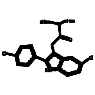 CCCCCCN(CCCCCC)C(=O)Cc1c(-c2ccc(Cl)cc2)[nH]c2ccc(Cl)cc12